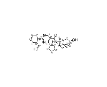 O=C(N[C@H]1C2CC3CC1C[C@@](O)(C3)C2)c1cnc(N2CCOCC2CO)nc1C1CCCC1